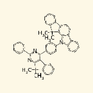 CC1(C)c2ccccc2-c2c(-c3ccc(-n4c5ccccc5c5ccc6c(c54)C(C)(C)c4ccccc4-6)cc3)nc(-c3ccccc3)nc21